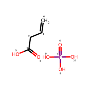 C=CCC(=O)O.O=P(O)(O)O